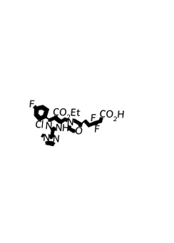 CCOC(=O)C1=C(CN2CCO[C@H](CCC(F)(F)CC(=O)O)C2)NC(c2nccn2C)=N[C@H]1c1ccc(F)cc1Cl